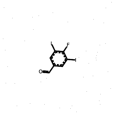 O=Cc1cc(I)c(F)c(I)c1